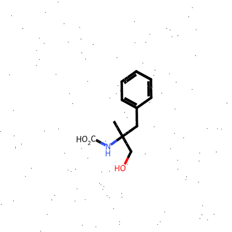 CC(CO)(Cc1ccccc1)NC(=O)O